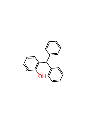 Oc1[c]cccc1C(c1ccccc1)c1ccccc1